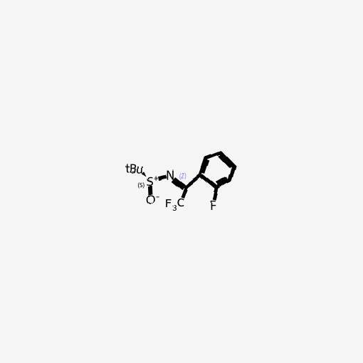 CC(C)(C)[S@@+]([O-])/N=C(/c1ccccc1F)C(F)(F)F